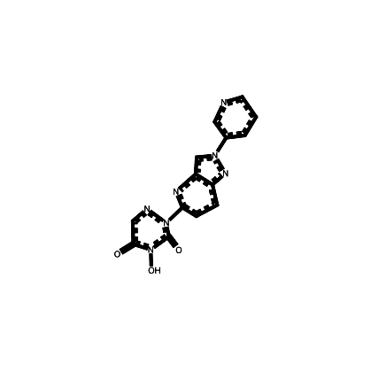 O=c1cnn(-c2ccc3nn(-c4cccnc4)cc3n2)c(=O)n1O